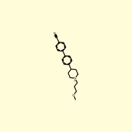 COCCC[SiH]1CCC(c2ccc(-c3ccc(C#N)cc3)cc2)CC1